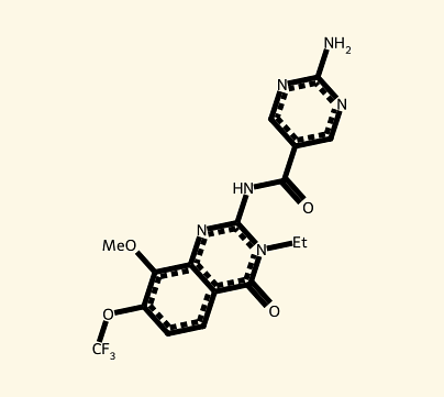 CCn1c(NC(=O)c2cnc(N)nc2)nc2c(OC)c(OC(F)(F)F)ccc2c1=O